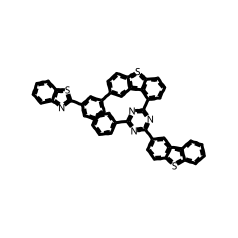 c1ccc(-c2nc(-c3ccc4sc5ccccc5c4c3)nc(-c3cccc4sc5ccc(-c6cccc(-c7nc8ccccc8s7)c6)cc5c34)n2)cc1